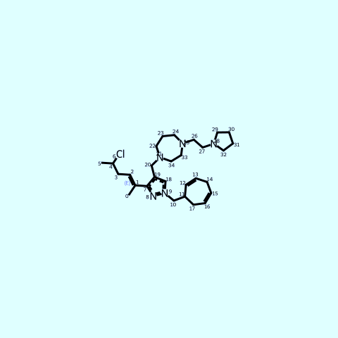 C/C(=C\CC(C)Cl)c1nn(CC2C=CCC=CC2)cc1CN1CCCN(CCN2CCCC2)CC1